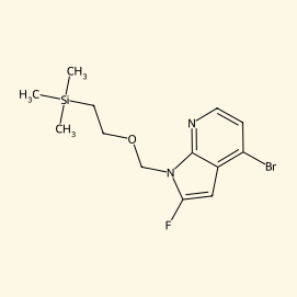 C[Si](C)(C)CCOCn1c(F)cc2c(Br)ccnc21